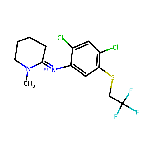 CN1CCCC/C1=N\c1cc(SCC(F)(F)F)c(Cl)cc1Cl